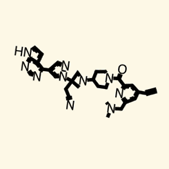 C#Cc1cc(CN(C)C)nc(C(=O)N2CCC(N3CC(CC#N)(n4cc(-c5ncnc6[nH]ccc56)cn4)C3)CC2)c1